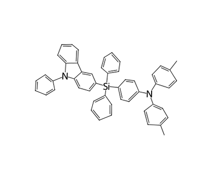 Cc1ccc(N(c2ccc(C)cc2)c2ccc([Si](c3ccccc3)(c3ccccc3)c3ccc4c(c3)c3ccccc3n4-c3ccccc3)cc2)cc1